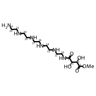 COC(=O)[C@H](O)[C@@H](O)C(=O)NCCNCCNCCNCCNCCN